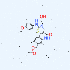 CCOc1ccc(NC(=S)N(CCO)Cc2cc3cc(C)c(COC(C)=O)c(C)c3[nH]c2=O)cc1